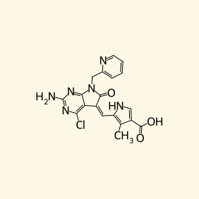 Cc1c(C(=O)O)c[nH]c1/C=C1\C(=O)N(Cc2ccccn2)c2nc(N)nc(Cl)c21